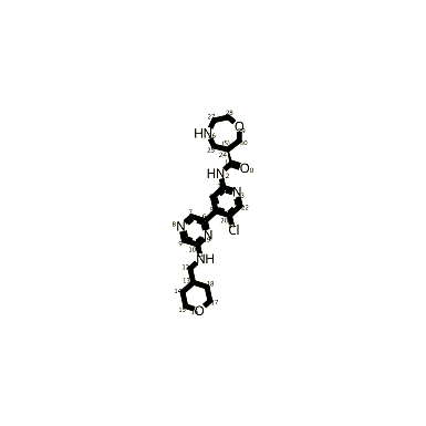 O=C(Nc1cc(-c2cncc(NCC3CCOCC3)n2)c(Cl)cn1)[C@H]1CNCCOC1